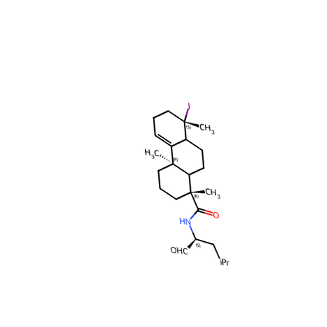 CC(C)C[C@@H](C=O)NC(=O)[C@]1(C)CCC[C@@]2(C)C3=CCC[C@](C)(I)C3CCC12